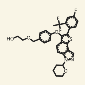 CC(F)(F)c1cc(F)ccc1-c1sc2c(ccc3c2cnn3C2CCCCO2)c1Oc1ccc(COCCO)cc1